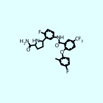 Cc1cc(F)ccc1Oc1ccc(C(F)(F)F)cc1C(=O)Nc1ccc(F)c(C2CCC(C(N)=O)N2)c1